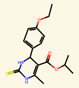 CCOc1ccc(C2NC(=S)NC(C)=C2C(=O)OC(C)C)cc1